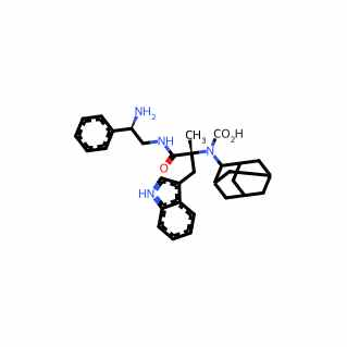 C[C@@](Cc1c[nH]c2ccccc12)(C(=O)NC[C@H](N)c1ccccc1)N(C(=O)O)C1C2CC3CC(C2)CC1C3